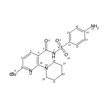 CC(C)(C)c1ccc(C(=O)NS(=O)(=O)c2ccc(N)cc2)c(N2CCCCC2)n1